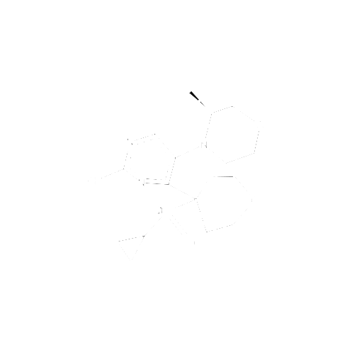 C[C@H]1COCCN1c1cnc(Cl)nc1C1(S(=O)(=O)C2CC2)CCOCC1